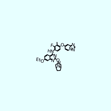 CCOc1ccc2c(Nc3ccc(Oc4ccn5ncnc5c4)c(C)c3F)nc(OC3CC4CCC(C3)N4)nc2c1